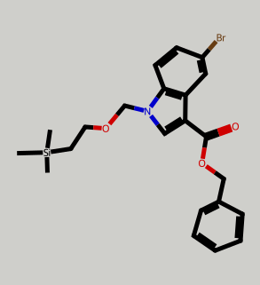 C[Si](C)(C)CCOCn1cc(C(=O)OCc2ccccc2)c2cc(Br)ccc21